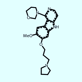 COc1cc2c(cc1OCCCN1CCCC1)[nH]c1ccnc(N3CCCOC3)c12